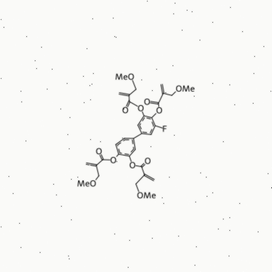 C=C(COC)C(=O)Oc1ccc(-c2cc(F)c(OC(=O)C(=C)COC)c(OC(=O)C(=C)COC)c2)cc1OC(=O)C(=C)COC